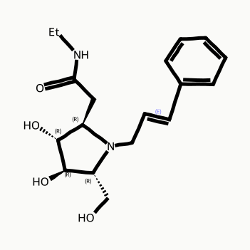 CCNC(=O)C[C@@H]1[C@@H](O)[C@H](O)[C@@H](CO)N1C/C=C/c1ccccc1